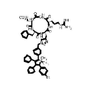 CCc1ccc(C2=C(c3ccccc3)C(c3ccccc3)=C(c3ccc(Cn4cc(C[C@@H]5NC(=O)[C@@H](Cc6ccccc6)NC(=O)[C@H](CC(=O)O)NC(=O)CNC(=O)[C@H](CCCNC(=N)N)NC5=O)nn4)cc3)[Si]2(C)C)cc1